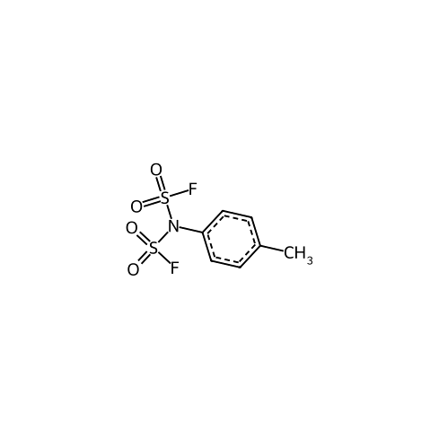 Cc1ccc(N(S(=O)(=O)F)S(=O)(=O)F)cc1